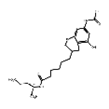 CC(C)(C)C(=O)Nc1nc(O)c2c(n1)NCC(CCCCCC(=O)N[C@H](CCC(=O)O)C(=O)O)C2